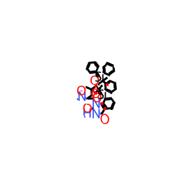 CN1OCC2(CO[Si](c3ccccc3)(c3ccccc3)C(C)(C)C)OC(n3ccc(=O)[nH]c3=O)C1C2O[Si](c1ccccc1)(c1ccccc1)C(C)(C)C